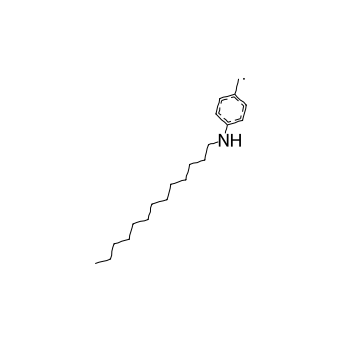 [CH2]c1ccc(NCCCCCCCCCCCCC)cc1